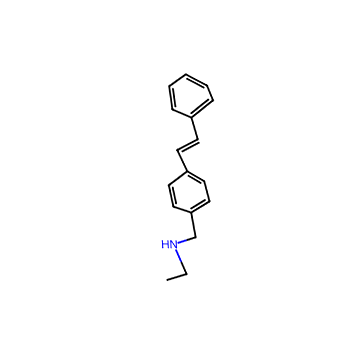 CCNCc1ccc(/C=C/c2ccccc2)cc1